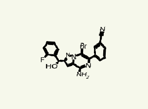 N#Cc1cccc(-c2nc(N)c3cc(C(O)c4ccccc4F)nn3c2Br)c1